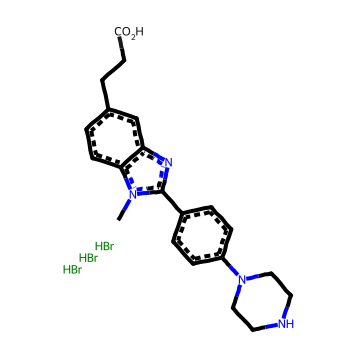 Br.Br.Br.Cn1c(-c2ccc(N3CCNCC3)cc2)nc2cc(CCC(=O)O)ccc21